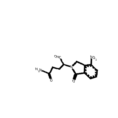 NC(=O)CCC(C=O)N1Cc2c(cccc2[N+](=O)[O-])C1=O